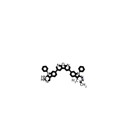 C=N/N=N\c1c(C)c2ccc(-c3cnc4oc5ncc(-c6ccc7c8c(n(-c9ccccc9)c7c6)NNN=C8)cc5c4c3)cc2n1-c1ccccc1